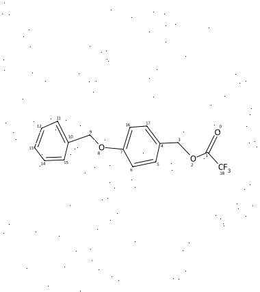 O=C(OCc1ccc(OCc2ccccc2)cc1)C(F)(F)F